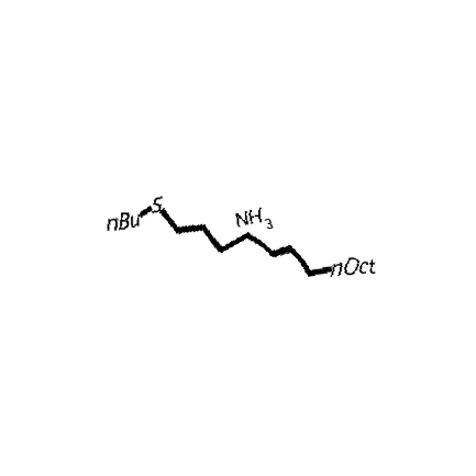 N.[CH2]CCCCCCCCCCCCCCSCCCC